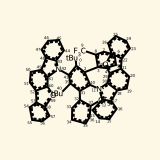 CC(C)(C)c1c(-c2ccccc2C(F)(F)F)c(-n2c3ccccc3c3ccc4c5ccccc5oc4c32)c(-c2ccccc2C(F)(F)F)c(C(C)(C)C)c1-n1c2ccccc2c2ccc3c4ccccc4oc3c21